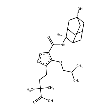 CC(C)COc1c(C(=O)N[C@H]2C3CC4CC2C[C@](O)(C4)C3)cnn1CCC(C)(C)C(=O)O